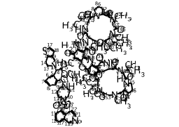 COC(=O)[C@H](c1ccccc1Cl)N1CCc2sccc2C1.Cc1c2oc3c(C)ccc(C(=O)N[C@@H]4C(=O)N[C@H](C(C)C)C(=O)N5CCC[C@H]5C(=O)N(C)CC(=O)N(C)[C@@H](C(C)C)C(=O)O[C@@H]4C)c3nc-2c(C(=O)N[C@@H]2C(=O)N[C@H](C(C)C)C(=O)N3CCC[C@H]3C(=O)N(C)CC(=O)N(C)[C@@H](C(C)C)C(=O)O[C@@H]2C)c(N)c1=O.O=S(=O)(c1cccc2cnccc12)N1CCCNCC1